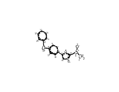 C[S+]([O-])c1nc(-c2ccc(Oc3ccccc3)cc2)cs1